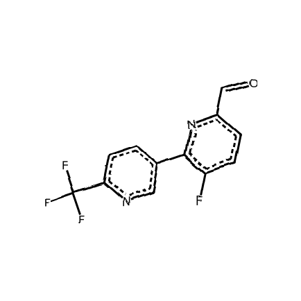 O=Cc1ccc(F)c(-c2ccc(C(F)(F)F)nc2)n1